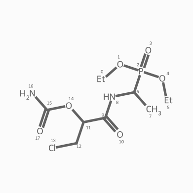 CCOP(=O)(OCC)C(C)NC(=O)C(CCl)OC(N)=O